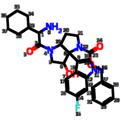 NC(C(=O)N1CC(O)C2(c3c[nH]c4cc(F)ccc34)C1CCN2C(=O)OCc1ccccc1)C1CCCCC1